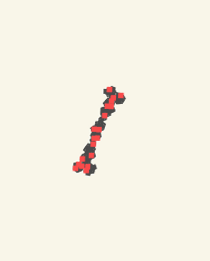 Cc1cc(C)cc(N(c2ccccc2)c2ccc3c(c2)C(C)(C)C2=CC(/C=C/c4ccc5c(c4)C(C)(C)c4cc(/C=C/c6ccc7c(c6)C(C)(C)c6cc(N(c8ccccc8)c8cc(C)cc(C)c8)ccc6-7)ccc4-5)CC=C23)c1